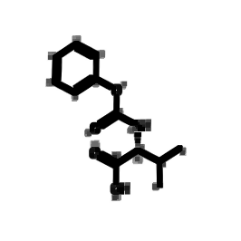 CC(C)[C@@H](NC(=O)Oc1ccccc1)C(=O)O